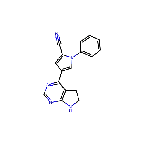 N#Cc1cc(-c2ncnc3c2CCN3)cn1-c1ccccc1